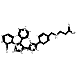 O=C(O)CCNCC1=CCC(c2noc(-c3nnn(C4C=CC=CC4F)c3-c3ccncc3)n2)C=C1